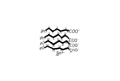 CC(C)CCCCCC(=O)[O-].CC(C)CCCCCC(=O)[O-].CC(C)CCCCCC(=O)[O-].CC(C)CCCCCC(=O)[O-].[Sn+4]